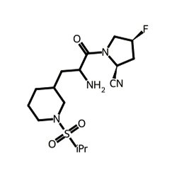 CC(C)S(=O)(=O)N1CCCC(CC(N)C(=O)N2C[C@@H](F)C[C@H]2C#N)C1